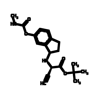 C#C[C@@H](NC1CCc2ccc(OC(=O)NC)cc21)C(=O)OC(C)(C)C